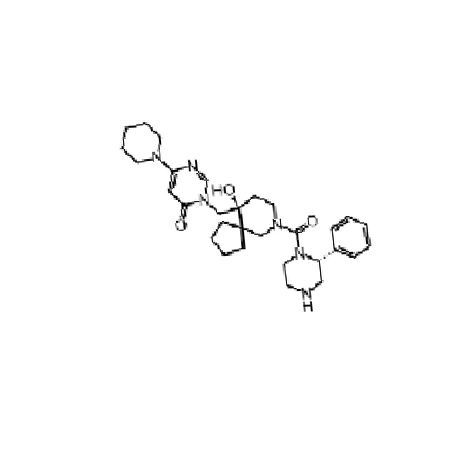 O=C(N1CC[C@@](O)(Cn2cnc(N3CCCCC3)cc2=O)C2(CCCC2)C1)N1CCNC[C@H]1c1ccccc1